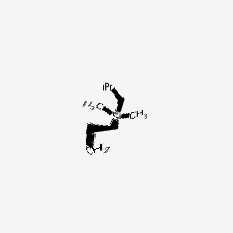 C=CC[Si](C)(C)CC(C)C